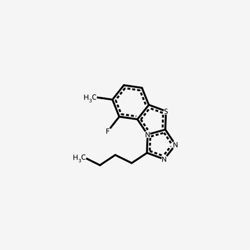 CCCCc1nnc2sc3ccc(C)c(F)c3n12